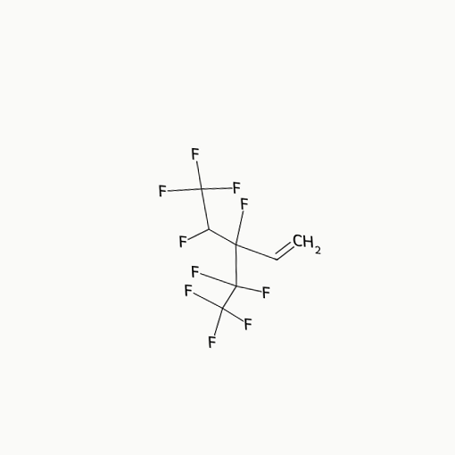 C=CC(F)(C(F)C(F)(F)F)C(F)(F)C(F)(F)F